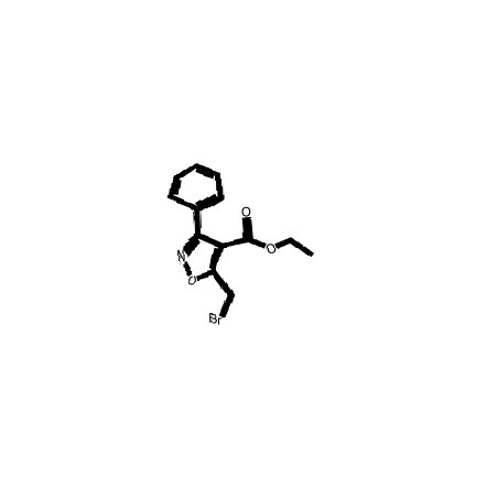 CCOC(=O)c1c(-c2ccccc2)noc1CBr